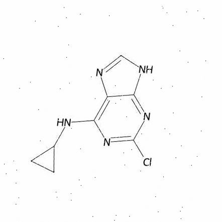 Clc1nc(NC2CC2)c2nc[nH]c2n1